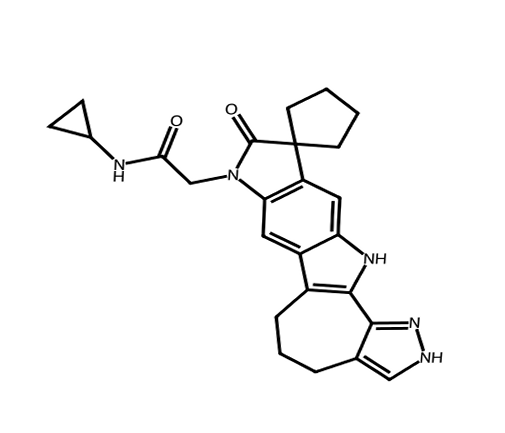 O=C(CN1C(=O)C2(CCCC2)c2cc3[nH]c4c(c3cc21)CCCc1c[nH]nc1-4)NC1CC1